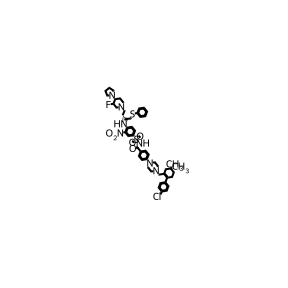 CC1(C)CCC(c2ccc(Cl)cc2)=C(CN2CCN(c3ccc(C(=O)NS(=O)(=O)c4ccc(N[C@H](CCN5CCC(N6CCCC6)C(F)C5)CSc5ccccc5)c([N+](=O)[O-])c4)cc3)CC2)C1